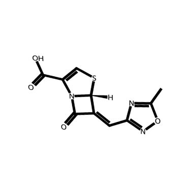 Cc1nc(/C=C2/C(=O)N3C(C(=O)O)=CS[C@H]23)no1